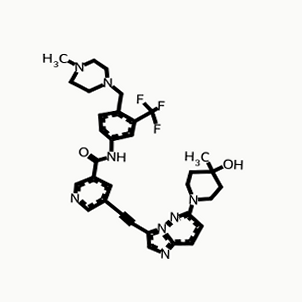 CN1CCN(Cc2ccc(NC(=O)c3cncc(C#Cc4cnc5ccc(N6CCC(C)(O)CC6)nn45)c3)cc2C(F)(F)F)CC1